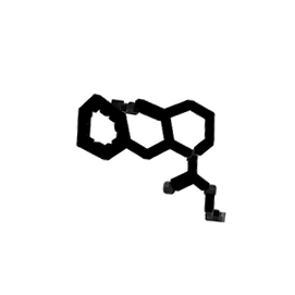 CO/C=C1/CCCN(C(=O)OC(C)(C)C)C1Cc1ccccc1